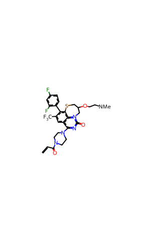 C=CC(=O)N1CCN(c2nc(=O)n3c4c(c(-c5ccc(F)cc5F)c(C(F)(F)F)cc24)SCC(OCCNC)C3)CC1